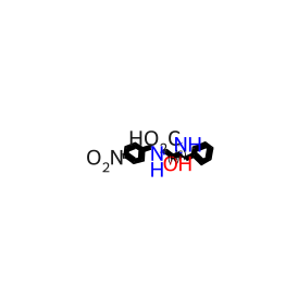 O=C(O)N[C@@H](Cc1ccccc1)[C@H](O)CNCc1ccc([N+](=O)[O-])cc1